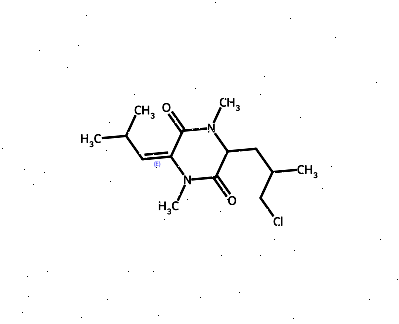 CC(C)/C=C1\C(=O)N(C)C(CC(C)CCl)C(=O)N1C